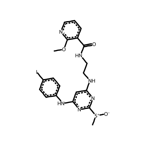 COc1ncccc1C(=O)NCCNc1cc(Nc2ccc(I)cc2)nc([S+](C)[O-])n1